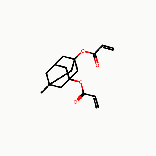 C=CC(=O)OC12CC3CC(C)(C1)CC(OC(=O)C=C)(C3)C2